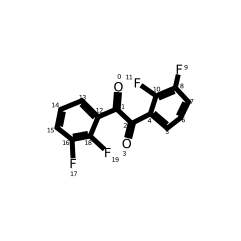 O=C(C(=O)c1cccc(F)c1F)c1cccc(F)c1F